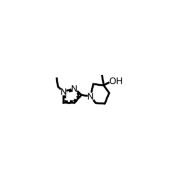 CCn1ccc(N2CCCC(C)(O)C2)n1